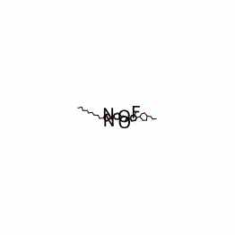 CCCCCCCCCc1cnc(-c2ccc(OC(=O)c3ccc(C4CCC(CCC)CC4)c(F)c3)cc2)nc1